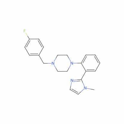 Cn1ccnc1-c1ccccc1N1CCN(Cc2ccc(F)cc2)CC1